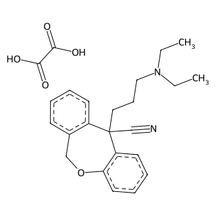 CCN(CC)CCCC1(C#N)c2ccccc2COc2ccccc21.O=C(O)C(=O)O